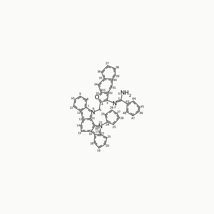 N/C(=N\c1c(Cn2c3ccccc3c3ccc4c5ccccc5n(-c5ccccc5)c4c32)oc2cc3ccccc3cc12)c1ccccc1